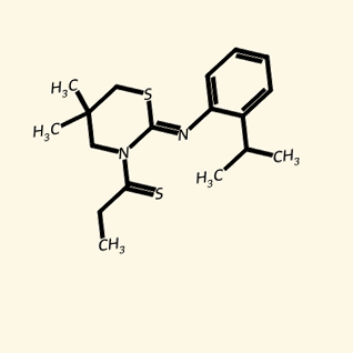 CCC(=S)N1CC(C)(C)CS/C1=N\c1ccccc1C(C)C